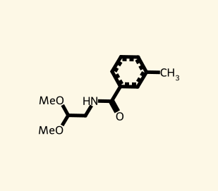 COC(CNC(=O)c1cccc(C)c1)OC